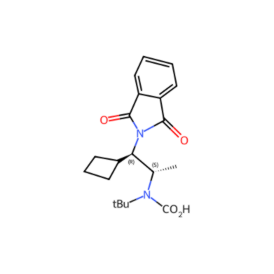 C[C@@H]([C@@H](C1CCC1)N1C(=O)c2ccccc2C1=O)N(C(=O)O)C(C)(C)C